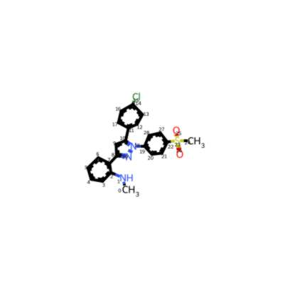 CNc1ccccc1-c1cc(-c2ccc(Cl)cc2)n(-c2ccc(S(C)(=O)=O)cc2)n1